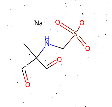 CC(C=O)(C=O)NCS(=O)(=O)[O-].[Na+]